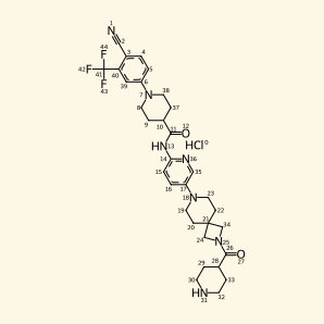 Cl.N#Cc1ccc(N2CCC(C(=O)Nc3ccc(N4CCC5(CC4)CN(C(=O)C4CCNCC4)C5)cn3)CC2)cc1C(F)(F)F